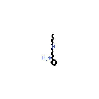 CCCCCCN=CCCCC(N)c1ccccc1